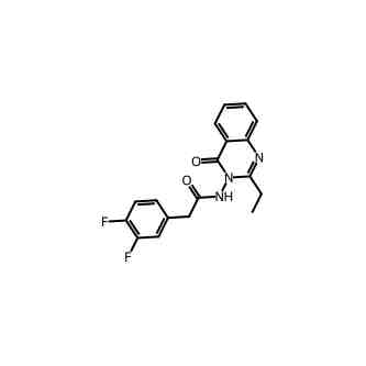 CCc1nc2ccccc2c(=O)n1NC(=O)Cc1ccc(F)c(F)c1